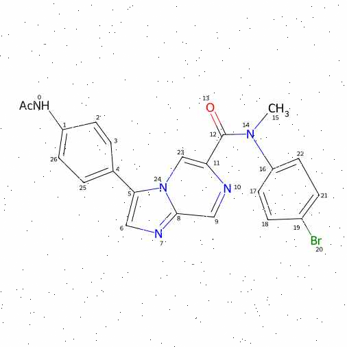 CC(=O)Nc1ccc(-c2cnc3cnc(C(=O)N(C)c4ccc(Br)cc4)cn23)cc1